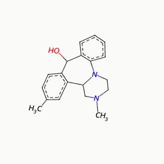 Cc1ccc2c(c1)C1CN(C)CCN1c1ccccc1C2O